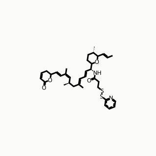 C/C=C/C1OC([C@@H](/C=C/C=C(\C)C[C@@H](C)/C=C(C)\C=C\C2CC=CC(=O)O2)NC(=O)CCSSc2ccccn2)CC[C@@H]1C